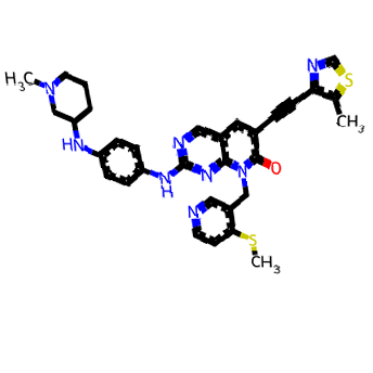 CSc1ccncc1Cn1c(=O)c(C#Cc2ncsc2C)cc2cnc(Nc3ccc(NC4CCCN(C)C4)cc3)nc21